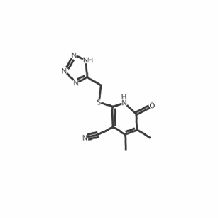 Cc1c(C#N)c(SCc2nnn[nH]2)[nH]c(=O)c1C